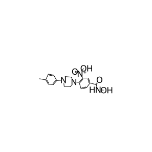 Cc1ccc(N2CCN(c3ccc(C(=O)NO)cc3[N+](=O)O)CC2)cc1